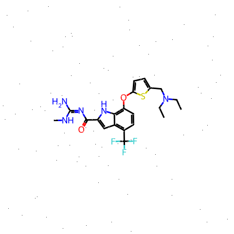 CCN(CC)Cc1ccc(Oc2ccc(C(F)(F)F)c3cc(C(=O)N=C(N)NC)[nH]c23)s1